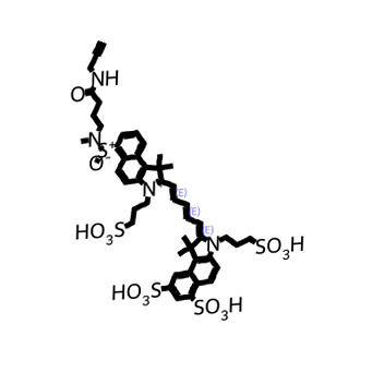 C#CCNC(=O)CCCN(C)[S+]([O-])c1cccc2c3c(ccc12)[N+](CCCS(=O)(=O)O)=C(/C=C/C=C/C=C1/N(CCCS(=O)(=O)O)c2ccc4c(S(=O)(=O)O)cc(S(=O)(=O)O)cc4c2C1(C)C)C3(C)C